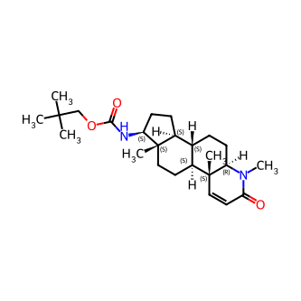 CN1C(=O)C=C[C@]2(C)[C@H]3CC[C@]4(C)[C@@H](NC(=O)OCC(C)(C)C)CC[C@H]4[C@@H]3CC[C@@H]12